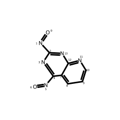 O=Nc1nc(N=O)c2cccnc2n1